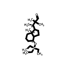 CC[Si](CC)(CC)O[C@H]1CCC[C@@]2(C)C1CCC2[C@@H](C)C(C)(C)C=O